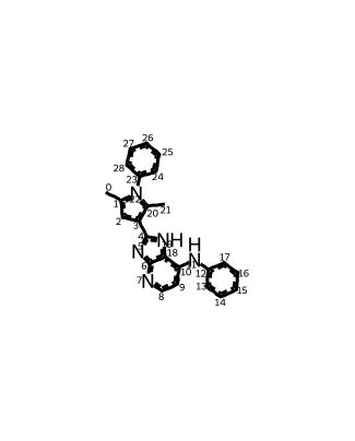 Cc1cc(-c2nc3nccc(Nc4ccccc4)c3[nH]2)c(C)n1-c1ccccc1